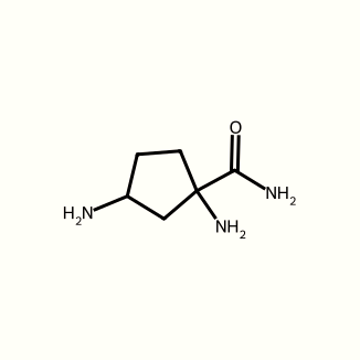 NC(=O)C1(N)CCC(N)C1